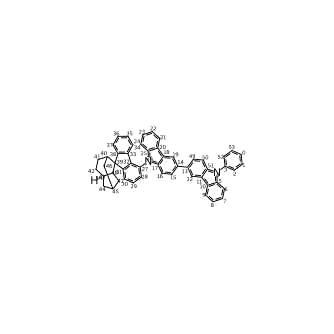 c1ccc(-n2c3ccccc3c3cc(-c4ccc5c(c4)c4ccccc4n5-c4cccc5c4-c4ccccc4C54C5CC[C@@H]6CC(C5)CC64)ccc32)cc1